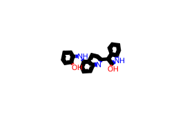 Oc1ccccc1Nc1cccc2nc(-c3c(O)[nH]c4ccccc34)ccc12